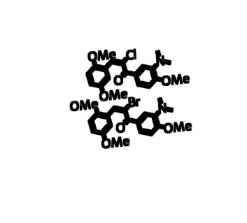 COc1ccc(OC)c(/C=C(/Br)C(=O)c2ccc(OC)c(N(C)C)c2)c1.COc1ccc(OC)c(/C=C(/Cl)C(=O)c2ccc(OC)c(N(C)C)c2)c1